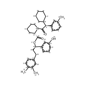 Cc1cccc([C@@H](C(=O)N2CCCC[C@H]2C(=O)O[C@H](CCc2ccc(C)c(C)c2)c2cccc(O)c2)C2CCCCC2)c1